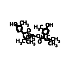 Cc1cc(C(CC(C)(C)C)C(=O)OCCOC(=O)C(CC(C)(C)C)c2ccc(O)c(C)c2)ccc1O